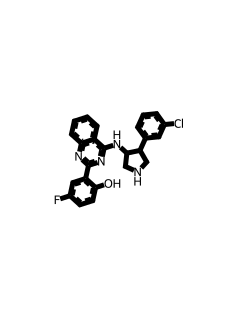 Oc1ccc(F)cc1-c1nc(NC2CNCC2c2cccc(Cl)c2)c2ccccc2n1